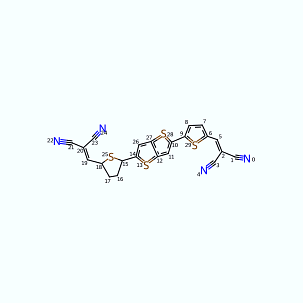 N#CC(C#N)=Cc1ccc(-c2cc3sc(C4CCC(C=C(C#N)C#N)S4)cc3s2)s1